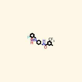 Cc1cc(C(=O)NC[C@H]2CC[C@H](NCc3cccc(F)c3O)CC2)cc(C(F)(F)F)c1